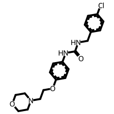 O=C(NCc1ccc(Cl)cc1)Nc1ccc(OCCN2CCOCC2)cc1